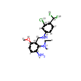 CCN(C)c1c(N)ccc(OC)c1CNc1ccc(C(F)F)c(Cl)c1